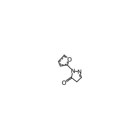 O=C1CC=NN1c1ccco1